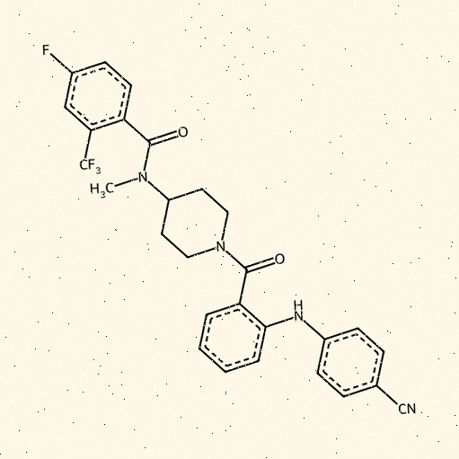 CN(C(=O)c1ccc(F)cc1C(F)(F)F)C1CCN(C(=O)c2ccccc2Nc2ccc(C#N)cc2)CC1